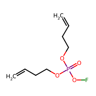 C=CCCOP(=O)(OF)OCCC=C